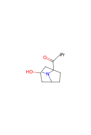 CC(C)C(=O)C12CCC(CC(O)C1)N2C